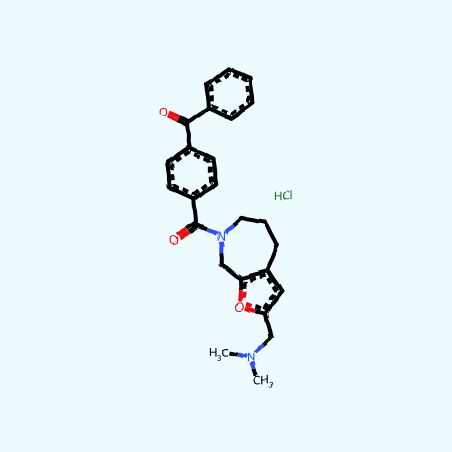 CN(C)Cc1cc2c(o1)CN(C(=O)c1ccc(C(=O)c3ccccc3)cc1)CCC2.Cl